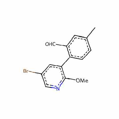 COc1ncc(Br)cc1-c1ccc(C)cc1C=O